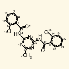 Cc1nc(NC(=O)c2ccccc2Cl)nc(NC(=O)c2ccccc2Cl)n1